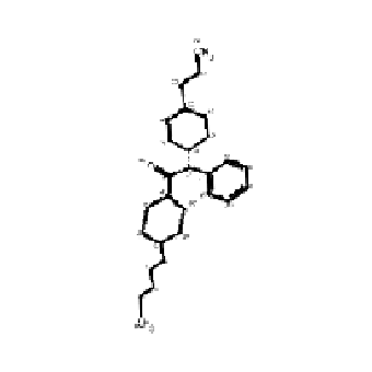 CCCCCC1CCC(C(=O)C(c2ccccc2)[C@H]2CC[C@H](CCC)CC2)CC1